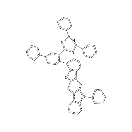 c1ccc(-c2ccc(-c3cccc4c3oc3cc5c6ccccc6n(-c6ccccc6)c5cc34)c(-c3nc(-c4ccccc4)nc(-c4ccccc4)n3)c2)cc1